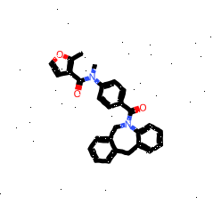 Cc1occc1C(=O)N(C)c1ccc(C(=O)N2Cc3ccccc3Cc3ccccc32)cc1